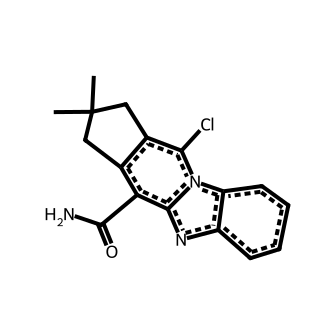 CC1(C)Cc2c(c(Cl)n3c(nc4ccccc43)c2C(N)=O)C1